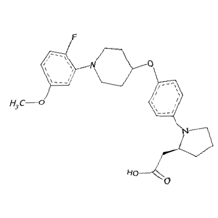 COc1ccc(F)c(N2CCC(Oc3ccc(N4CCC[C@H]4CC(=O)O)cc3)CC2)c1